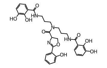 O=C(NCCCN(CCCNC(=O)c1cccc(O)c1O)C(=O)C1COC(c2ccccc2O)=N1)c1cccc(O)c1O